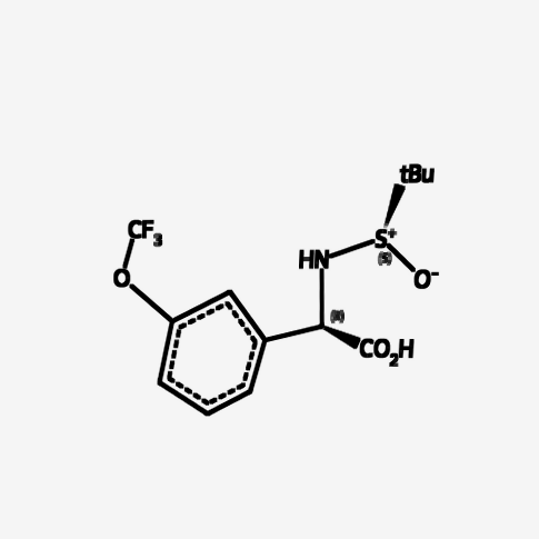 CC(C)(C)[S@@+]([O-])N[C@@H](C(=O)O)c1cccc(OC(F)(F)F)c1